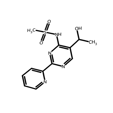 CC(O)c1cnc(-c2ccccn2)nc1NS(C)(=O)=O